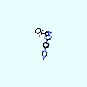 CN1CCN(c2ccc(-c3cnc4[nH]cc(C(=O)C5(C)CCCCC5)c4n3)cc2)CC1